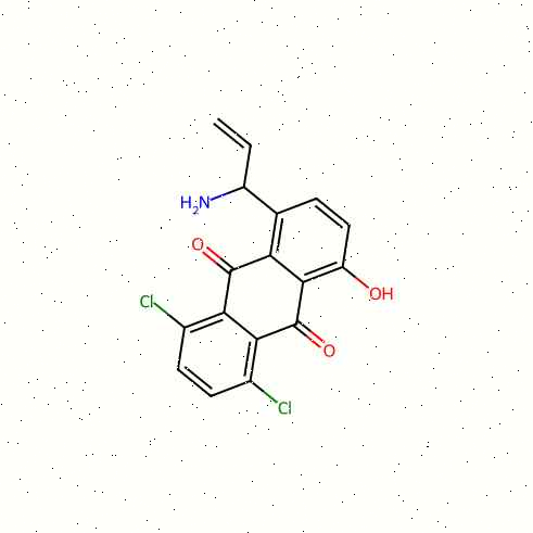 C=CC(N)c1ccc(O)c2c1C(=O)c1c(Cl)ccc(Cl)c1C2=O